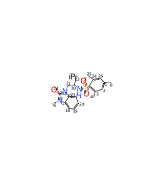 Cc1cc(C)c(S(=O)(=O)NC(Cn2c(=O)n(C)c3ccccc32)C(C)C)c(C)c1